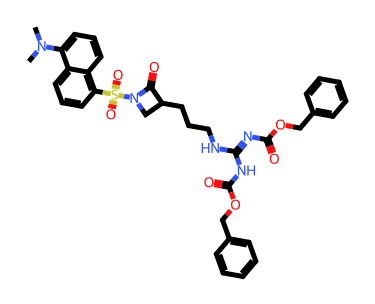 CN(C)c1cccc2c(S(=O)(=O)N3CC(CCCNC(=NC(=O)OCc4ccccc4)NC(=O)OCc4ccccc4)C3=O)cccc12